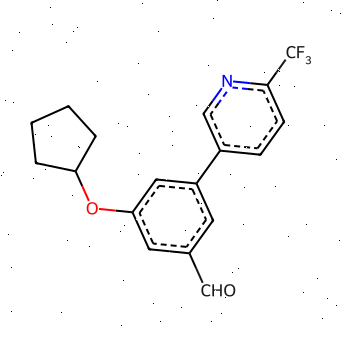 O=Cc1cc(OC2CCCC2)cc(-c2ccc(C(F)(F)F)nc2)c1